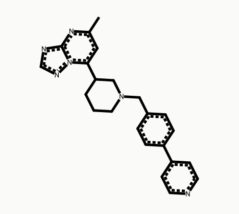 Cc1cc(C2CCCN(Cc3ccc(-c4ccncc4)cc3)C2)n2ncnc2n1